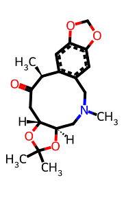 C[C@@H]1C(=O)C[C@H]2OC(C)(C)O[C@@H]2CN(C)Cc2cc3c(cc21)OCO3